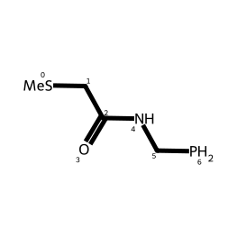 CSCC(=O)NCP